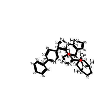 O=C(c1nnc[nH]1)N1[C@@H]2CC[C@H]1C[C@H](c1nc3c(-c4ccc(-c5ccccc5)nc4)cnn3c3[nH]ccc13)C2